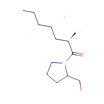 CC(C)C[C@@H](O)[C@H](O)C[C@H](C(=O)N1CCCC1CO)C(C)C